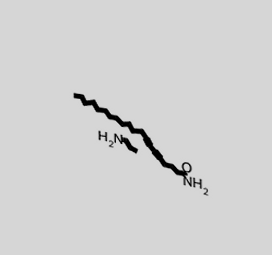 CCCCCCCCCCCCC#CC#CCCCC(N)=O.CCCN